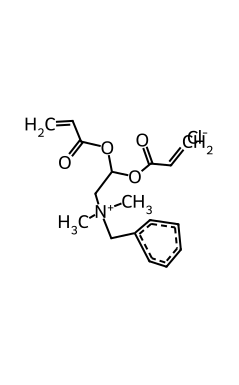 C=CC(=O)OC(C[N+](C)(C)Cc1ccccc1)OC(=O)C=C.[Cl-]